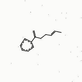 C=C(CC/C=C/C)c1ccccc1